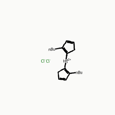 CCCCC1=[C]([Hf+2][C]2=C(CCCC)C=CC2)CC=C1.[Cl-].[Cl-]